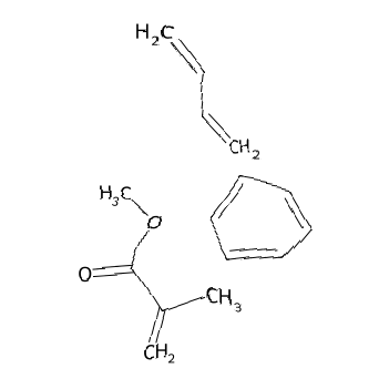 C=C(C)C(=O)OC.C=CC=C.c1ccccc1